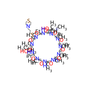 C/C=C/C[C@@H](C)[C@@H](O)[C@H]1C(=O)N[C@@H](CC)C(=O)N(C)[C@H](CSCCCN2CCSCC2)C(=O)N(C)[C@@H](CC(C)(C)O)C(=O)N[C@@H](C(C)C)C(=O)N(C)[C@@H](CC(C)C)C(=O)N[C@@H](C)C(=O)N[C@H](C)C(=O)N(C)[C@@H](CC(C)C)C(=O)N(C)[C@@H](CC(C)C)C(=O)N(C)[C@@H](C(C)C)C(=O)N1C